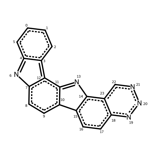 c1ccc2c(c1)=Nc1ccc3c(c1=2)=Nc1c-3ccc2nnncc12